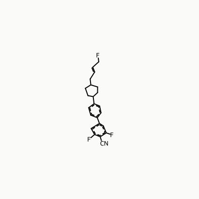 N#Cc1c(F)cc(-c2ccc(C3CCC(C/C=C/CF)CC3)cc2)cc1F